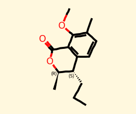 CCC[C@H]1c2ccc(C)c(OC)c2C(=O)O[C@@H]1C